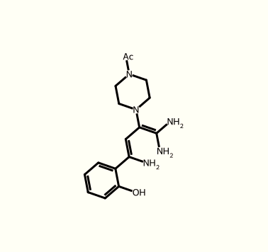 CC(=O)N1CCN(C(/C=C(\N)c2ccccc2O)=C(N)N)CC1